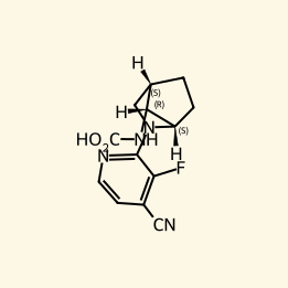 N#Cc1ccnc(N2C[C@@H]3CC[C@H]2[C@@H]3NC(=O)O)c1F